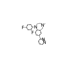 CN1CCN(c2ccc(F)cc2F)c2ccc(-c3cccnn3)cc2C1